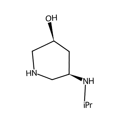 CC(C)N[C@H]1CNC[C@@H](O)C1